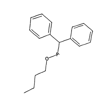 CCCCO[P]C(c1ccccc1)c1ccccc1